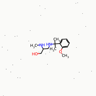 CNC(CO)CNC(C)(C)c1ccccc1OC